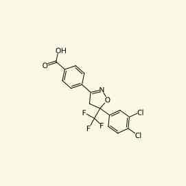 O=C(O)c1ccc(C2=NOC(c3ccc(Cl)c(Cl)c3)(C(F)(F)F)C2)cc1